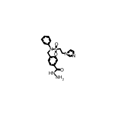 NNC(=O)c1ccc(CN(c2ccccc2)S(=O)(=O)CCn2ccnc2)cc1